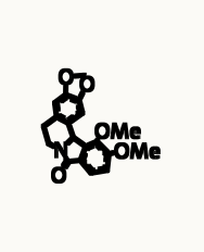 COc1ccc2c(c1OC)C1c3cc4c(cc3CCN1C2=O)OCO4